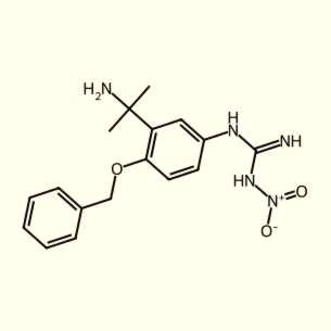 CC(C)(N)c1cc(NC(=N)N[N+](=O)[O-])ccc1OCc1ccccc1